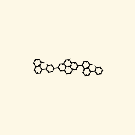 c1ccc2c(c1)Oc1ccc(-c3cc4ccc5cc(-c6ccc7c(c6)Oc6cccc8cccc-7c68)cc6ccc(c3)c4c56)c3cccc-2c13